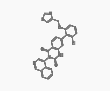 O=c1[nH]c2cc(-c3c(Cl)cccc3OCc3cscn3)ccc2c(=O)n1-c1cncc2ccccc12